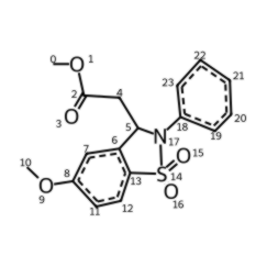 COC(=O)CC1c2cc(OC)ccc2S(=O)(=O)N1c1ccccc1